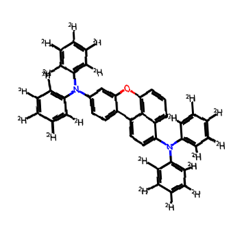 [2H]c1c([2H])c([2H])c(N(c2ccc3c(c2)Oc2cccc4c(N(c5c([2H])c([2H])c([2H])c([2H])c5[2H])c5c([2H])c([2H])c([2H])c([2H])c5[2H])ccc-3c24)c2c([2H])c([2H])c([2H])c([2H])c2[2H])c([2H])c1[2H]